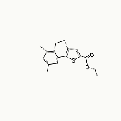 CCOC(=O)c1cc2c(s1)-c1cc(C)cc(C)c1CC2